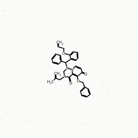 C=CCOc1ccccc1C(c1ccccc1)N1CN(CC(=C)C)C(=O)c2c(OCc3ccccc3)c(=O)ccn21